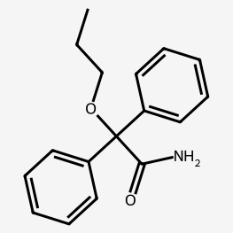 CCCOC(C(N)=O)(c1ccccc1)c1ccccc1